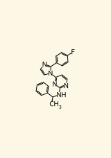 C[C@H](Nc1nccc(-n2ccnc2-c2ccc(F)cc2)n1)c1ccccc1